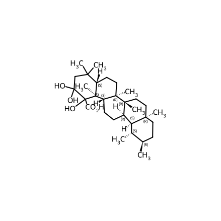 C[C@@H]1[C@H]2[C@H]3CC[C@@H]4[C@]5(C)[C@@H](CC[C@@]4(C)[C@]3(C)CC[C@@]2(C)CC[C@H]1C)C(C)(C)CC(O)(O)C5(O)C(=O)O